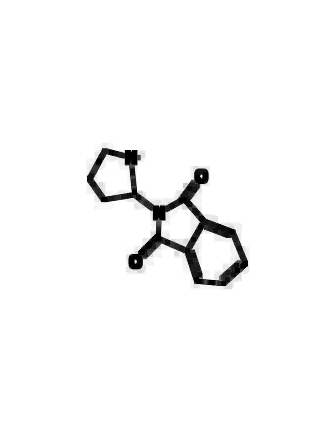 O=C1c2ccccc2C(=O)N1C1CCC[N]1